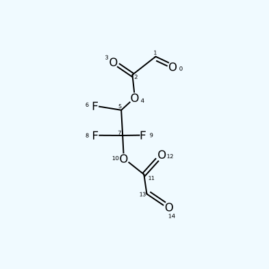 O=CC(=O)OC(F)C(F)(F)OC(=O)C=O